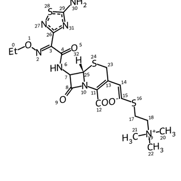 CCON=C(C(=O)NC1C(=O)N2C(C(=O)[O-])=C(C=CSCC[N+](C)(C)C)CS[C@@H]12)c1nsc(N)n1